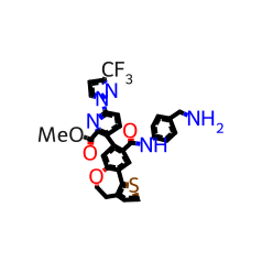 COC(=O)c1nc(-n2ccc(C(F)(F)F)n2)ccc1-c1cc2c(cc1C(=O)Nc1ccc(CN)cc1)-c1sccc1CCO2